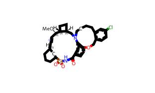 CO[C@H]1/C=C/[C@H]2CCCC(C2)S(=O)(=O)NC(=O)c2ccc3c(c2)N(CCCCc2cc(Cl)ccc2CO3)C[C@@H]2CC[C@H]21